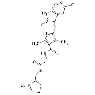 CCN1CCCC1CNC(=O)CNC(=O)c1c(C)[nH]c(/C=C2\C(=O)Nc3ccc(F)cc32)c1C